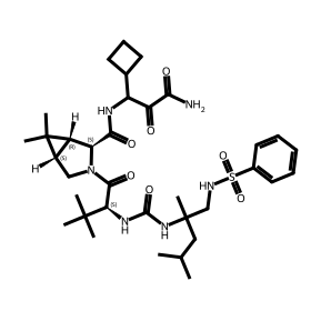 CC(C)CC(C)(CNS(=O)(=O)c1ccccc1)NC(=O)N[C@H](C(=O)N1C[C@H]2[C@@H]([C@H]1C(=O)NC(C(=O)C(N)=O)C1CCC1)C2(C)C)C(C)(C)C